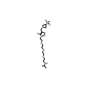 CC(C)NCCOCCOCCOCCn1nnc(CN2CC(S(C)(=O)=O)C2)c1F